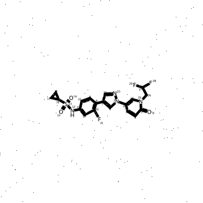 O=c1ccc(-n2cc(-c3ccc(NS(=O)(=O)C4CC4)cc3F)cn2)cn1CC(F)F